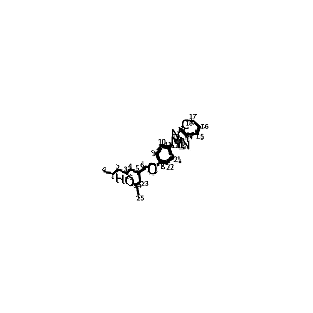 CCCCCC(COc1ccc(-n2nc3ccccc3n2)cc1)CC(C)O